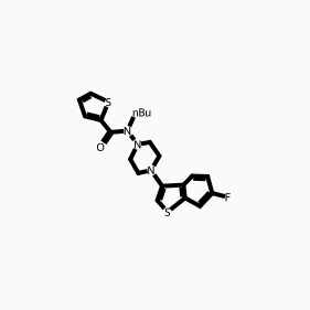 CCCCN(C(=O)c1cccs1)N1CCN(c2csc3cc(F)ccc23)CC1